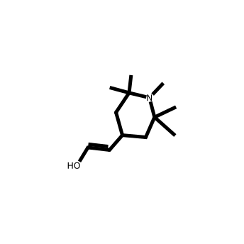 CN1C(C)(C)CC(C=CO)CC1(C)C